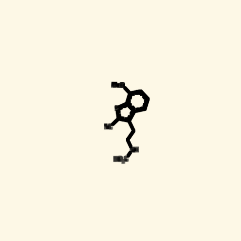 COc1cccc2c(CCNC(=O)O)c(C#N)sc12